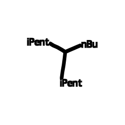 CCCCC(C(C)CCC)C(C)CCC